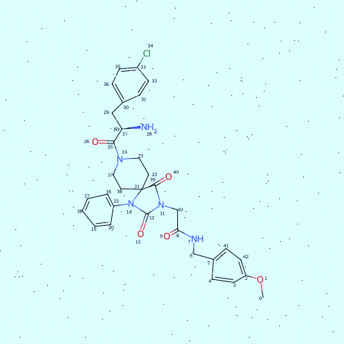 COc1ccc(CNC(=O)CN2C(=O)N(c3ccccc3)C3(CCN(C(=O)[C@H](N)Cc4ccc(Cl)cc4)CC3)C2=O)cc1